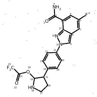 NC(=O)c1cc(F)cc2cn(-c3ccc(C4CCNC4OC(=O)C(F)(F)F)cc3)nc12